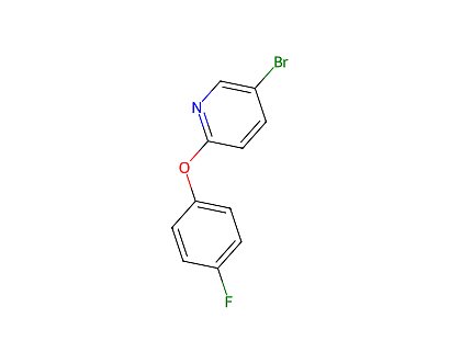 Fc1ccc(Oc2ccc(Br)cn2)cc1